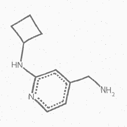 NCc1ccnc(NC2CCC2)c1